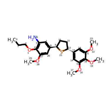 CCCOc1c(N)cc([C@H]2CC[C@H](c3cc(OC)c(OC)c(OC)c3)S2)cc1OC